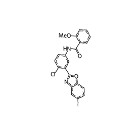 COc1ccccc1C(=O)Nc1ccc(Cl)c(-c2nc3cc(C)ccc3o2)c1